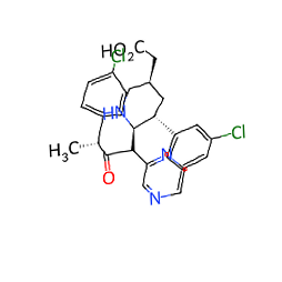 C[C@@H](C(=O)C(c1cnccn1)[C@H]1NC[C@@H](CC(=O)O)C[C@@H]1c1cccc(Cl)c1)c1ccc(Cl)cc1